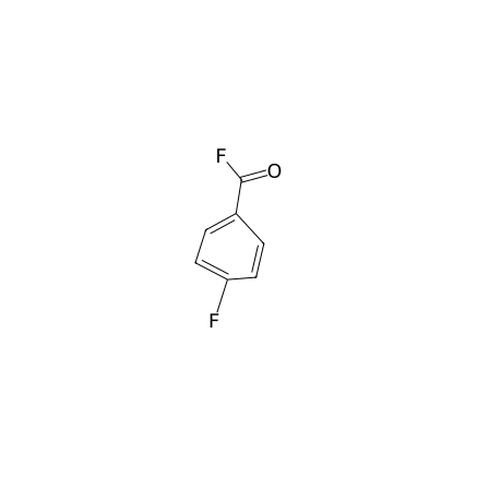 O=C(F)c1ccc(F)cc1